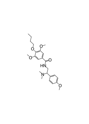 CCCCOc1c(OC)cc(C(=O)NCC(c2ccc(OC)cc2)N(C)C)cc1OC